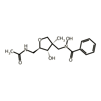 CC(=O)NC[C@H]1OC[C@@](C)(CN(O)C(=O)c2ccccc2)[C@@H]1O